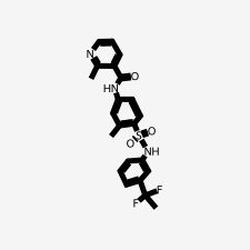 Cc1cc(NC(=O)c2cccnc2C)ccc1S(=O)(=O)Nc1cccc(C(C)(F)F)c1